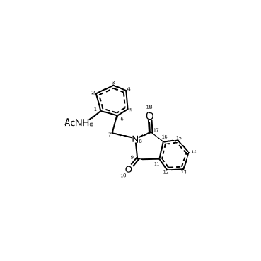 CC(=O)Nc1ccccc1CN1C(=O)c2ccccc2C1=O